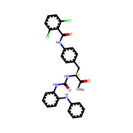 COC(=O)[C@H](Cc1ccc(NC(=O)c2c(Cl)cccc2Cl)cc1)NC(=O)Nc1ccccc1Nc1ccccc1